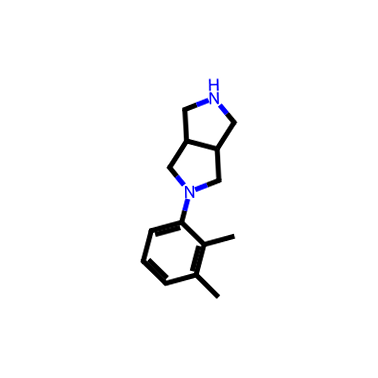 Cc1cccc(N2CC3CNCC3C2)c1C